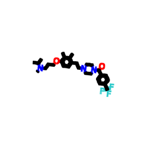 Cc1c(CCN2CCN(C(=O)c3ccc(C(F)(F)F)cc3)CC2)ccc(OCCCN(C)C(C)C)c1C